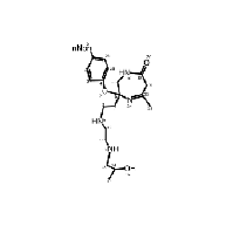 CCCCCCCCCc1ccc(OC2(CCNCCNCC(C)O)CNC(=O)CC(C)=N2)cc1